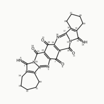 N=c1c2c(c3nc4c(=O)c5c(=O)n6c(=N)c7c(c6nc5c(=O)c4c(=O)n13)CCCC7)CCCCC2